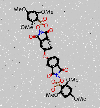 COc1cc(OC)c(S(=O)(=O)ON2C(=O)c3ccc(Oc4ccc5c(c4)C(=O)N(OS(=O)(=O)c4c(OC)cc(OC)cc4OC)C5=O)cc3C2=O)c(OC)c1